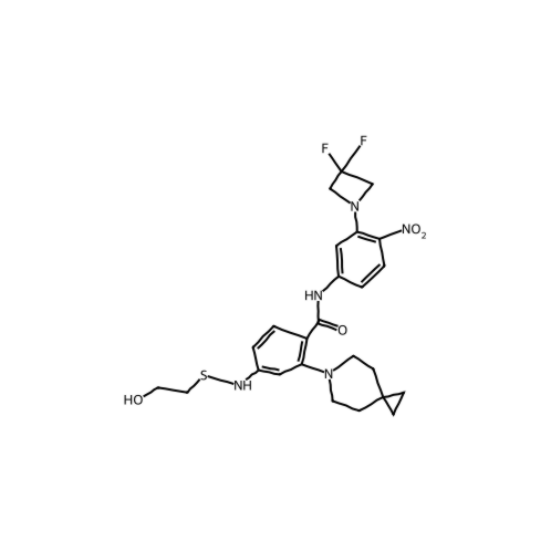 O=C(Nc1ccc([N+](=O)[O-])c(N2CC(F)(F)C2)c1)c1ccc(NSCCO)cc1N1CCC2(CC1)CC2